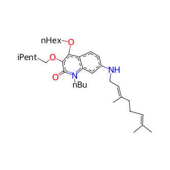 CCCCCCOc1c(OCC(C)CCC)c(=O)n(CCCC)c2cc(NC/C=C(\C)CCC=C(C)C)ccc12